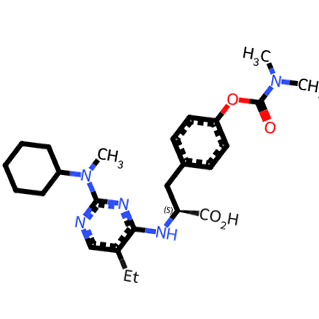 CCc1cnc(N(C)C2CCCCC2)nc1N[C@@H](Cc1ccc(OC(=O)N(C)C)cc1)C(=O)O